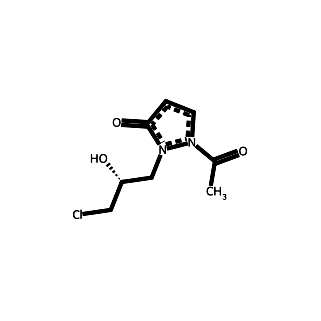 CC(=O)n1ccc(=O)n1C[C@@H](O)CCl